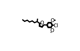 CCCCCCC(C)c1ccc(-c2cc(OC)c(Cl)c(OC)c2)o1